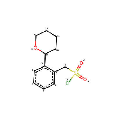 O=S(=O)(Cl)Cc1ccccc1C1CCCCO1